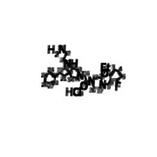 CCOc1cccc(F)c1CN1CCN(C(=O)CN2CCC(CCc3ccccc3)(CNCCN)CC2)CC1.Cl